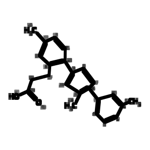 Cc1cccc(-c2ccc(-c3ccc(C)cc3CCC(=O)O)cc2C)c1